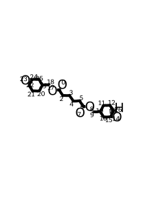 O=C(CCCCC(=O)OCC1CC[C@H]2OC2C1)OCC1CCC2OC2C1